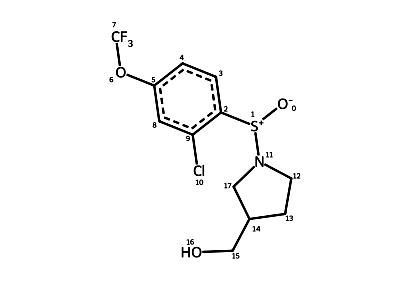 [O-][S+](c1ccc(OC(F)(F)F)cc1Cl)N1CCC(CO)C1